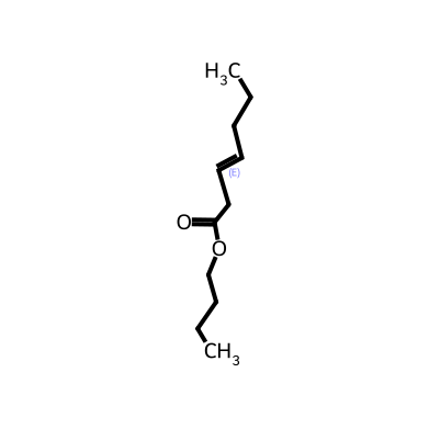 CCC/C=C/CC(=O)OCCCC